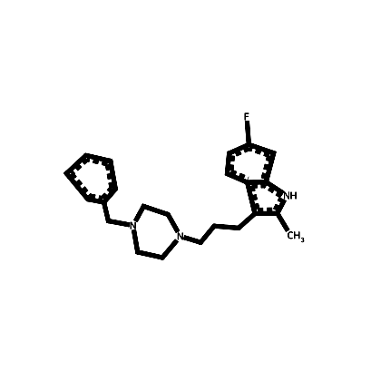 Cc1[nH]c2cc(F)ccc2c1CCCN1CCN(Cc2ccccc2)CC1